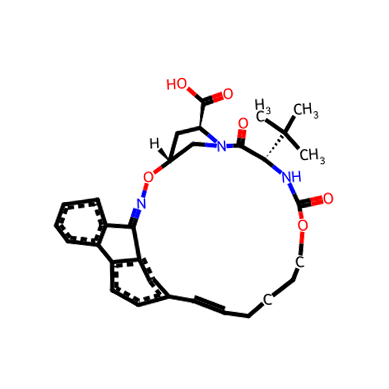 CC(C)(C)[C@@H]1NC(=O)OCCCC/C=C/c2ccc3c(c2)C(=NO[C@@H]2C[C@@H](C(=O)O)N(C2)C1=O)c1ccccc1-3